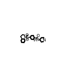 O=C(Nc1ccncc1)c1ccc(S(=O)(=O)N2CCCc3ccccc32)cc1